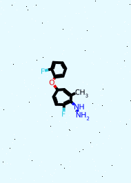 CC1=CC(Oc2ccccc2F)C=CC(F)=C1NN